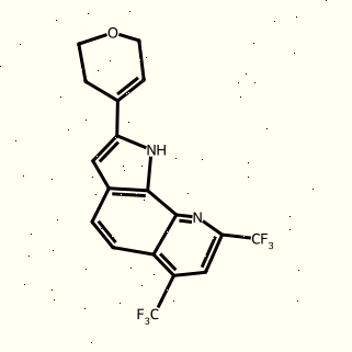 FC(F)(F)c1cc(C(F)(F)F)c2ccc3cc(C4=CCOCC4)[nH]c3c2n1